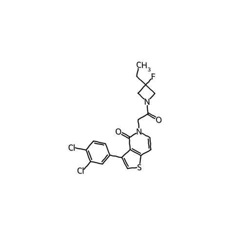 CCC1(F)CN(C(=O)Cn2ccc3scc(-c4ccc(Cl)c(Cl)c4)c3c2=O)C1